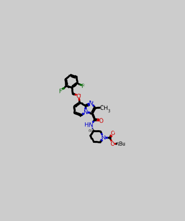 Cc1nc2c(OCc3c(F)cccc3F)cccn2c1C(=O)N[C@H]1CCCN(C(=O)OC(C)(C)C)C1